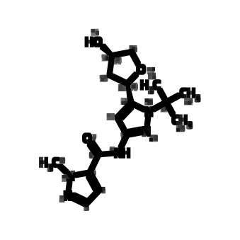 Cn1nccc1C(=O)Nc1cc([C@H]2C[C@@H](O)CO2)n(C(C)(C)C)n1